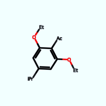 CCOc1cc(C(C)C)cc(OCC)c1C(C)=O